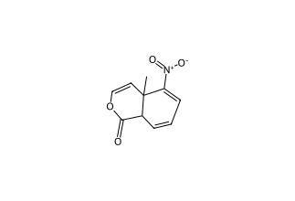 CC12C=COC(=O)C1C=CC=C2[N+](=O)[O-]